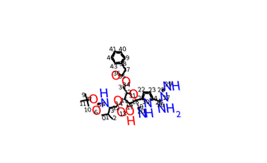 CC(C)[C@@H](NC(=O)OC(C)(C)C)C(=O)O[C@H]1[C@@H](O)[C@](C#N)(c2ccc(/C(N)=N\C=N)[nH]2)O[C@@H]1COC(=O)Cc1ccccc1